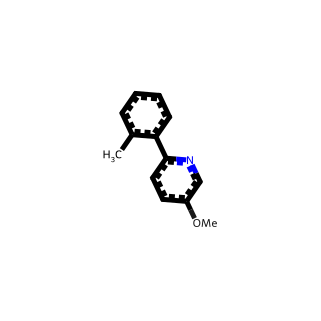 COc1ccc(-c2ccccc2C)nc1